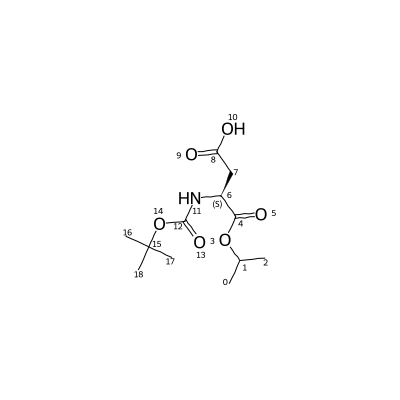 CC(C)OC(=O)[C@H](CC(=O)O)NC(=O)OC(C)(C)C